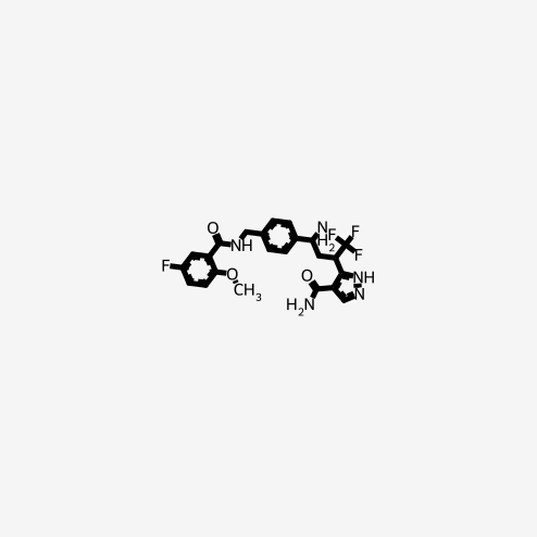 COc1ccc(F)cc1C(=O)NCc1ccc(C(N)CC(c2[nH]ncc2C(N)=O)C(F)(F)F)cc1